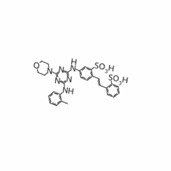 Cc1ccccc1Nc1nc(Nc2ccc(C=Cc3ccccc3S(=O)(=O)O)c(S(=O)(=O)O)c2)nc(N2CCOCC2)n1